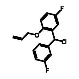 C=CCOc1ccc(F)cc1C(Cl)c1cccc(F)c1